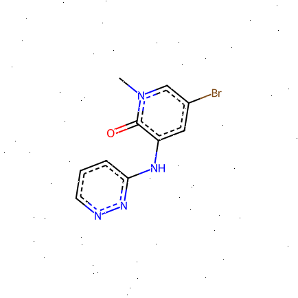 Cn1cc(Br)cc(Nc2cccnn2)c1=O